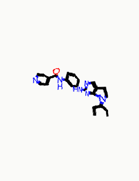 CCC(CC)n1ccc2cnc(Nc3cccc(NC(=O)c4ccncc4)c3)nc21